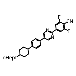 CCCCCCCC1CCC(c2ccc(-c3cnc(-c4cc(F)c(C#N)c(F)c4)nc3)cc2)CC1